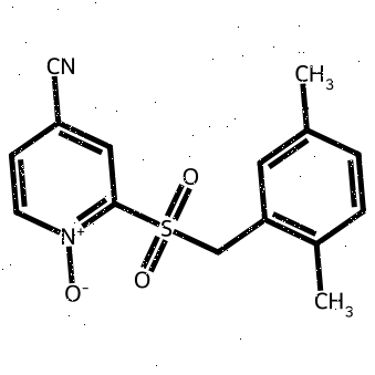 Cc1ccc(C)c(CS(=O)(=O)c2cc(C#N)cc[n+]2[O-])c1